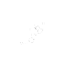 COc1ccc(CNc2cc(Cl)nc3c(C)nn(C(C)C)c23)cc1